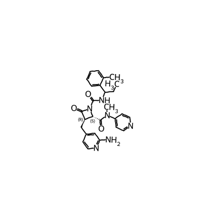 CCC(NC(=O)N1C(=O)[C@H](Cc2ccnc(N)c2)[C@H]1C(=O)N(C)c1ccncc1)c1ccccc1C